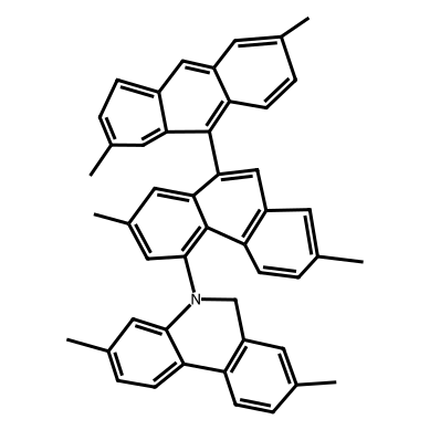 Cc1ccc2c(c1)CN(c1cc(C)cc3c(-c4c5ccc(C)cc5cc5ccc(C)cc45)cc4cc(C)ccc4c13)c1cc(C)ccc1-2